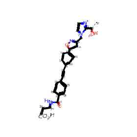 C[C@H](O)c1nccn1Cc1cc(-c2ccc(C#Cc3ccc(C(=O)NCCC(=O)O)cc3)cc2)on1